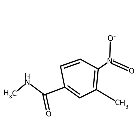 CNC(=O)c1ccc([N+](=O)[O-])c(C)c1